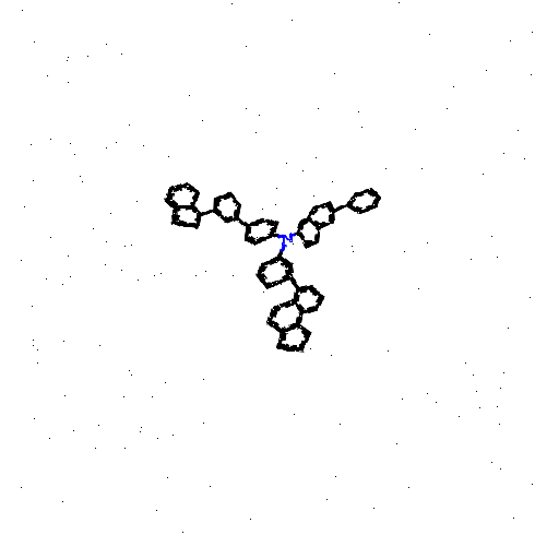 c1ccc(-c2ccc3cc(N(c4ccc(-c5cccc(-c6cccc7ccccc67)c5)cc4)c4cccc(-c5cccc6c5ccc5ccccc56)c4)ccc3c2)cc1